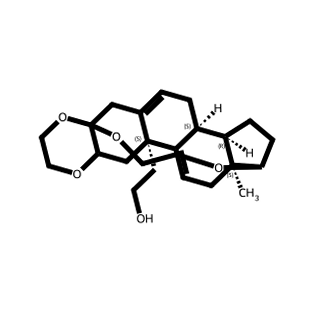 C[C@@]12CC=C3[C@H]4CC=C5CC6(OCCOC6C[C@@]53CCO)OCCOC1CC[C@H]42